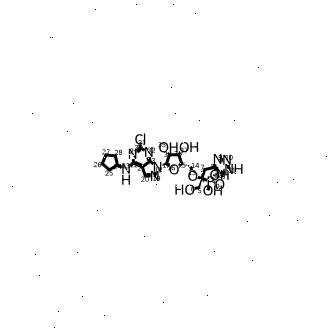 O=P(O)(O)[C@@](CO)(Cc1nn[nH]n1)OC[C@@H]1O[C@H](n2ncc3c(NC4CCCC4)nc(Cl)nc32)[C@@H](O)[C@H]1O